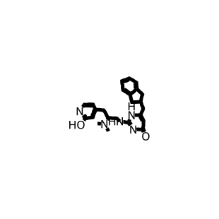 CN(C)C(CNc1nc(=O)cc(CC2Cc3ccccc3C2)[nH]1)Cc1ccnc(O)c1